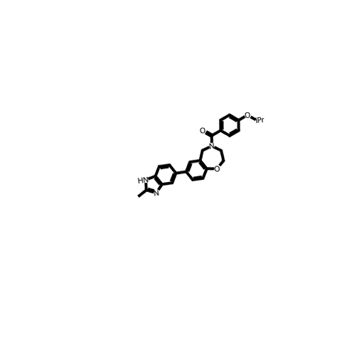 Cc1nc2cc(-c3ccc4c(c3)CN(C(=O)c3ccc(OC(C)C)cc3)CCO4)ccc2[nH]1